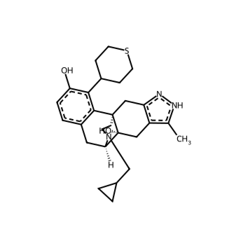 Cc1[nH]nc2c1C[C@@]1(O)[C@H]3Cc4ccc(O)c(C5CCSCC5)c4[C@@]1(CCN3CC1CC1)C2